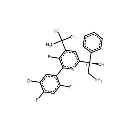 CC(C)(O)c1cc([C@@](O)(CN)c2ccccc2)nc(-c2cc(Cl)c(F)cc2F)c1F